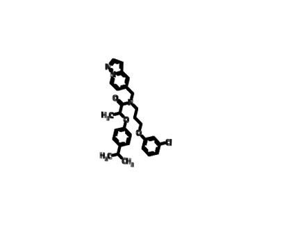 CC(Oc1ccc(C(C)C)cc1)C(=O)N(CCCOc1cccc(Cl)c1)Cc1ccn2nccc2c1